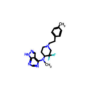 Cc1ccc(CCN2CCC(N(C)c3ncnc4[nH]ncc34)C(F)(F)C2)cc1